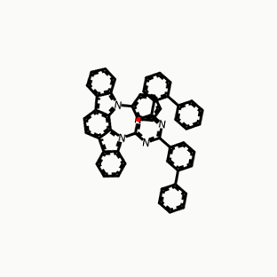 c1ccc(-c2cccc(-c3nc(-c4ccccc4-c4ccccc4)nc(-n4c5ccccc5c5ccc6c7ccccc7n(-c7ccccc7)c6c54)n3)c2)cc1